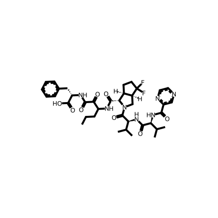 CCCC(NC(=O)[C@@H]1[C@H]2CCC(F)(F)[C@H]2CN1C(=O)[C@@H](NC(=O)[C@@H](NC(=O)c1cnccn1)C(C)C)C(C)C)C(=O)C(=O)N[C@@H](Cc1ccccc1)C(=O)O